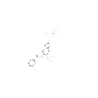 CC(C)(O)CCc1cn2cc(NC(=O)c3cccc(C(F)(F)F)n3)c(C(C)(C)O)cc2n1